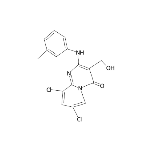 Cc1cccc(Nc2nc3c(Cl)cc(Cl)cn3c(=O)c2CO)c1